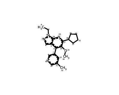 CCn1ncc2c(-c3cncc(C)c3)c(OC)c(C3CCCC3)nc21